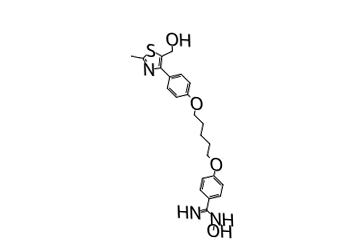 Cc1nc(-c2ccc(OCCCCCOc3ccc(C(=N)NO)cc3)cc2)c(CO)s1